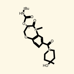 CN1C(=O)[C@@H](OC(=O)NC(C)(C)C)COc2ccc(C(=O)N3CCC(C)(O)CC3)cc21